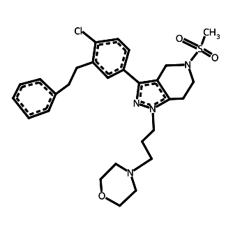 CS(=O)(=O)N1CCc2c(c(-c3ccc(Cl)c(CCc4ccccc4)c3)nn2CCCN2CCOCC2)C1